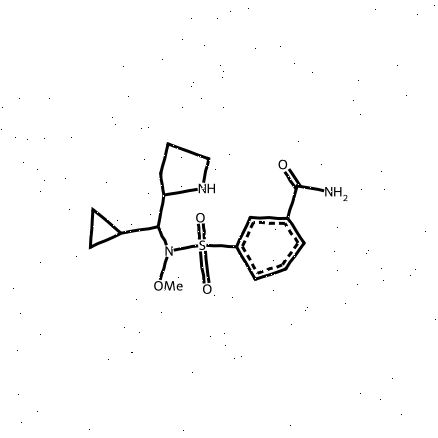 CON(C(C1CC1)C1CCCN1)S(=O)(=O)c1cccc(C(N)=O)c1